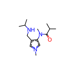 CC(C)NCc1cn(C)cc1N(C)C(=O)C(C)C